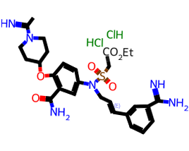 CCOC(=O)CS(=O)(=O)N(C/C=C/c1cccc(C(=N)N)c1)c1ccc(OC2CCN(C(C)=N)CC2)c(C(N)=O)c1.Cl.Cl